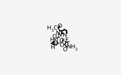 CC(=O)c1nn(CC(=O)N2[C@@H]3C[C@@H]3C[C@H]2C(=O)OC(C(N)=O)C(F)(F)F)c2ncccc12